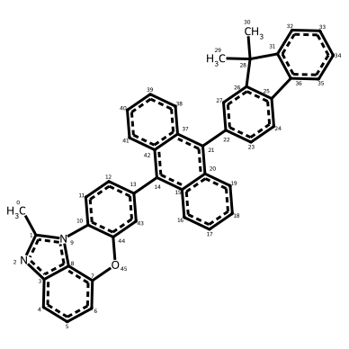 Cc1nc2cccc3c2n1-c1ccc(-c2c4ccccc4c(-c4ccc5c(c4)C(C)(C)c4ccccc4-5)c4ccccc24)cc1O3